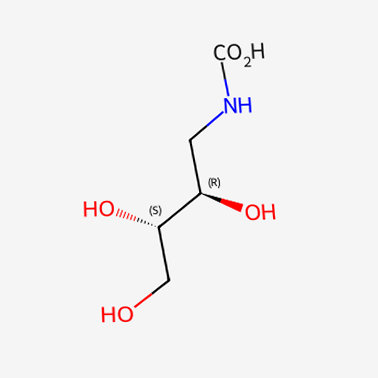 O=C(O)NC[C@@H](O)[C@@H](O)CO